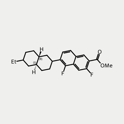 CCC1CC[C@@H]2CC(c3ccc4cc(C(=O)OC)c(F)cc4c3F)CC[C@H]2C1